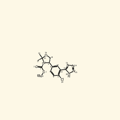 CC(C)(C)OC(=O)N1C(c2ccc(Cl)c(-c3nnn[nH]3)c2)COC1(C)C